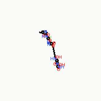 CCc1ccc2c(c1)c(=O)c(C(=O)Nc1ccc(Oc3ncnc4cc(OCCCCCCCCCC(O)Nc5ccc6c(c5)C(=O)N(C5CCC(=O)NC5O)C6)c(OC)cc34)c(F)c1)c(C)n2C